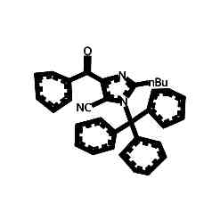 CCCCc1nc(C(=O)c2ccccc2)c(C#N)n1C(c1ccccc1)(c1ccccc1)c1ccccc1